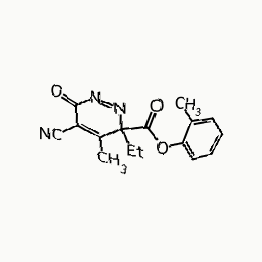 CCC1(C(=O)Oc2ccccc2C)N=NC(=O)C(C#N)=C1C